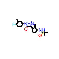 Cc1cc(NC(=O)c2c3c(cn2C)[C@H](N[S@+]([O-])C(C)(C)C)CC3)ccc1F